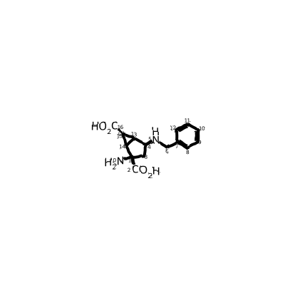 NC1(C(=O)O)CC(NCc2ccccc2)C2C1[C@H]2C(=O)O